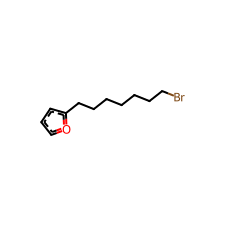 BrCCCCCCCc1ccco1